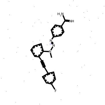 CN(/N=N/c1ccc(C(=N)N)cc1)c1ccccc1C#Cc1ccc(F)cc1